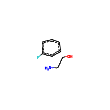 Fc1ccccc1.NCCO